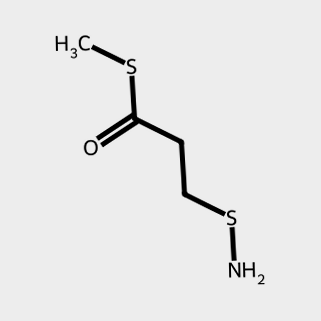 CSC(=O)CCSN